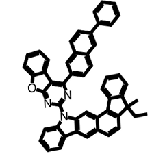 CCC1(C)c2ccccc2-c2c1ccc1cc3c4ccccc4n(-c4nc(-c5ccc6cc(-c7ccccc7)ccc6c5)c5c(n4)oc4ccccc45)c3cc21